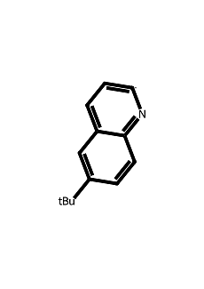 CC(C)(C)c1ccc2n[c]ccc2c1